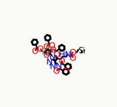 C[Si](C)(C)CCOC(=O)NCCCc1cn([C@@H]2O[C@H](COC(=O)c3ccccc3)[C@@H](OC(=O)c3ccccc3)[C@H]2OC(=O)c2ccccc2)c2ncnc(N(C(=O)c3ccccc3)C(=O)c3ccccc3)c12